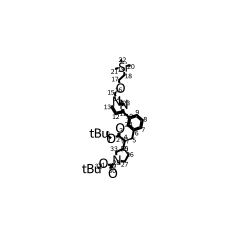 CC(C)(C)OC(=O)[C@@H](Cc1cccc(-c2ccn(COCC[Si](C)(C)C)n2)c1)[C@H]1CCN(C(=O)OC(C)(C)C)C1